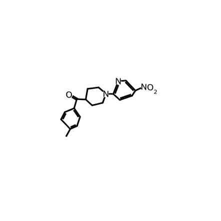 Cc1ccc(C(=O)C2CCN(c3ccc([N+](=O)[O-])cn3)CC2)cc1